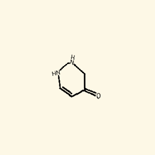 O=C1C=CNNC1